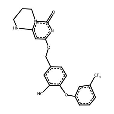 N#Cc1cc(COc2cc3n(c(=O)n2)CCCN3)ccc1Oc1cccc(C(F)(F)F)c1